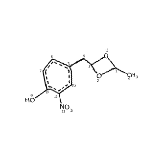 CC1OC(Cc2ccc(O)c([N+](=O)[O-])c2)O1